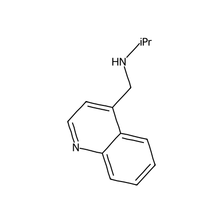 CC(C)NCc1ccnc2ccccc12